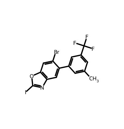 Cc1cc(-c2cc3nc(I)oc3cc2Br)cc(C(F)(F)F)c1